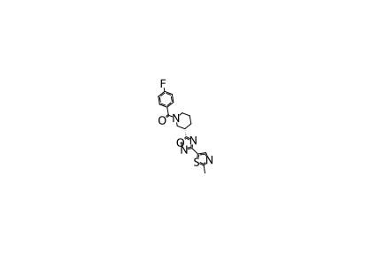 Cc1ncc(-c2noc([C@H]3CCCN(C(=O)c4ccc(F)cc4)C3)n2)s1